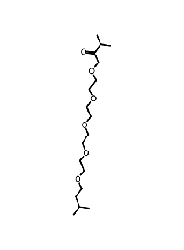 CC(C)CCOCCOCCOCCOCCOCC(=O)C(C)C